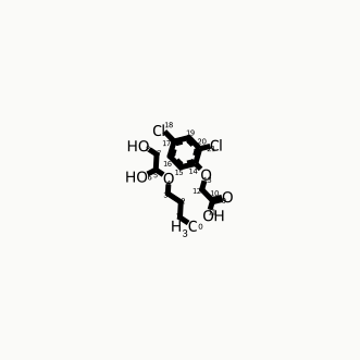 CCCCOC(O)CO.O=C(O)COc1ccc(Cl)cc1Cl